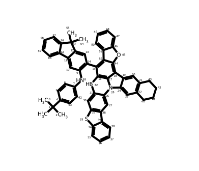 CC(C)(C)c1ccc(Nc2cc3c(cc2-c2c4c5c(c6cc7c(cc6n5-c5cc6c(cc5B4)sc4ccccc46)CCCC7)c4oc5ccccc5c24)C(C)(C)c2ccccc2-3)cc1